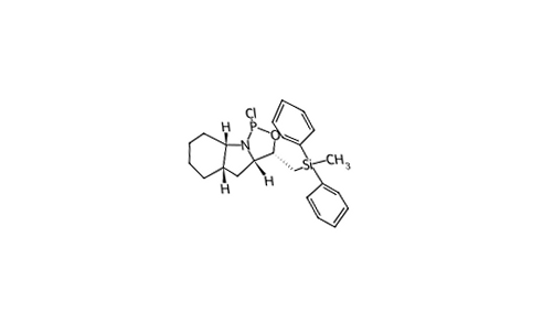 C[Si](C[C@H]1OP(Cl)N2[C@H]3CCCC[C@H]3C[C@@H]12)(c1ccccc1)c1ccccc1